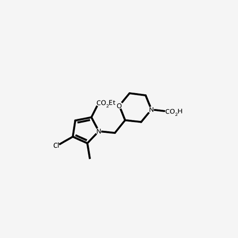 CCOC(=O)c1cc(Cl)c(C)n1CC1CN(C(=O)O)CCO1